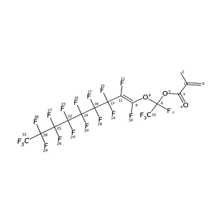 C=C(C)C(=O)OC(F)(OC(F)=C(F)C(F)(F)C(F)(F)C(F)(F)C(F)(F)C(F)(F)C(F)(F)C(F)(F)F)C(F)(F)F